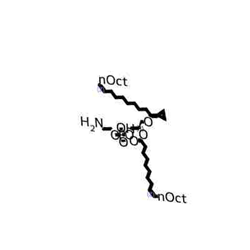 CCCCCCCC/C=C\CCCCCCCC(=O)O[C@H](COC(CCCCCCC/C=C\CCCCCCCC)=C1CC1)COP(=O)(O)OCCN